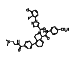 CN(C)CCNC(=O)c1ccc(-c2cccc3c2CCN(C(=O)c2cnn(-c4cccc(Cl)c4F)c2)C3C(=O)Nc2ccc(C(=O)O)cc2)cc1